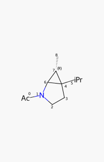 CC(=O)N1CCC2(C(C)C)C1[C@@H]2C